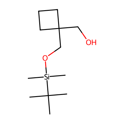 CC(C)(C)[Si](C)(C)OCC1(CO)CCC1